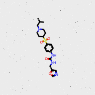 CC(C)CN1CCC(S(=O)(=O)c2ccc(NC(=O)NCc3cnco3)cc2)CC1